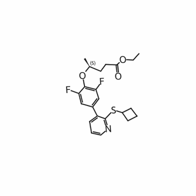 CCOC(=O)CC[C@H](C)Oc1c(F)cc(-c2cccnc2SC2CCC2)cc1F